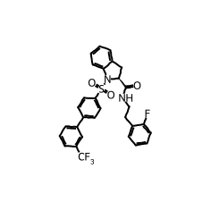 O=C(NCCc1ccccc1F)[C@@H]1Cc2ccccc2N1S(=O)(=O)c1ccc(-c2cccc(C(F)(F)F)c2)cc1